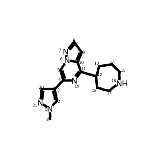 Cn1cc(-c2cn3nccc3c(C3CCCNCC3)n2)cn1